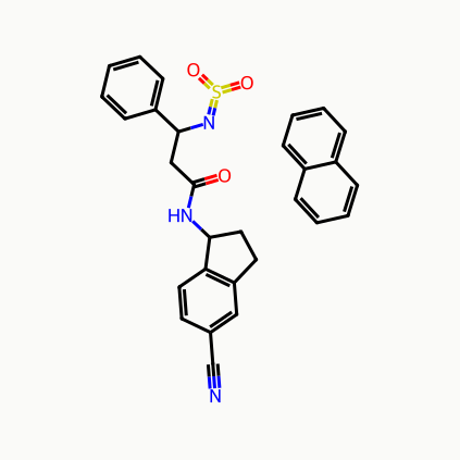 N#Cc1ccc2c(c1)CCC2NC(=O)CC(N=S(=O)=O)c1ccccc1.c1ccc2ccccc2c1